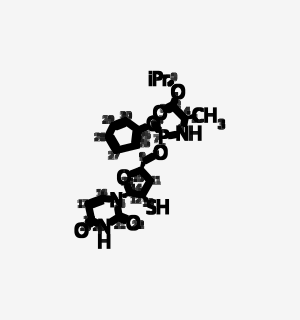 CC(C)OC(=O)[C@H](C)NP(OC[C@@H]1C[C@H](S)[C@H](n2ccc(=O)[nH]c2=O)O1)Oc1ccccc1